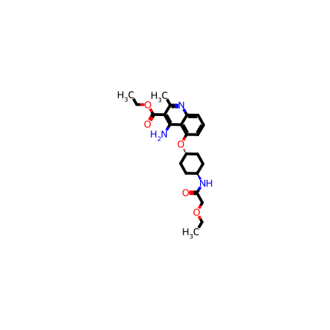 CCOCC(=O)N[C@H]1CC[C@H](Oc2cccc3nc(C)c(C(=O)OCC)c(N)c23)CC1